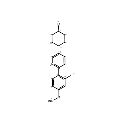 CCCCOc1ccc(-c2ccc([C@H]3CC[C@H](CC)CC3)cn2)c(F)c1